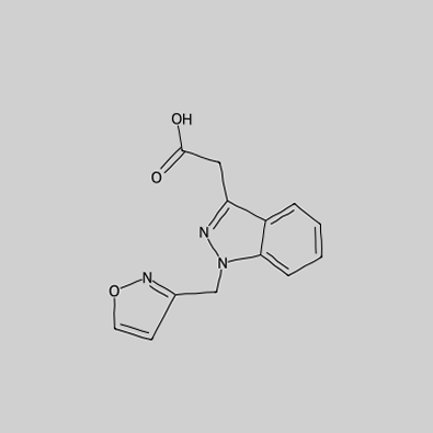 O=C(O)Cc1nn(Cc2ccon2)c2ccccc12